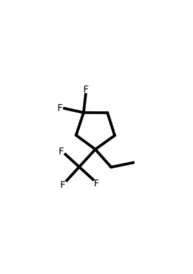 CCC1(C(F)(F)F)CCC(F)(F)C1